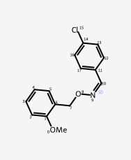 COc1ccccc1CO/N=[C]\c1ccc(Cl)cc1